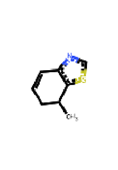 CC1CC=Cc2ncsc21